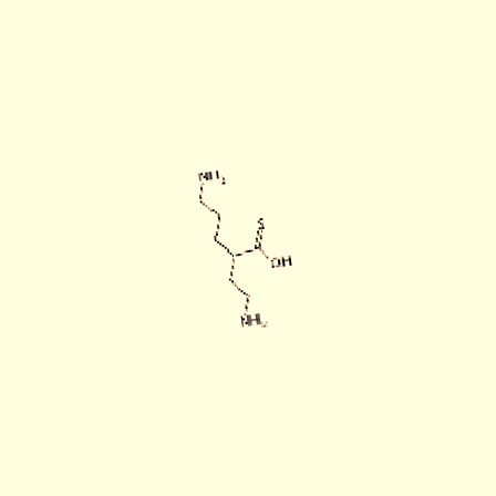 NCCCC(CCN)C(O)=S